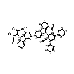 C=C(C#N)/C(=C(\C)C#N)n1c2ccccc2c2cc(-c3ccc4c(c3)c3ccccc3n4-c3c(C#N)c(-c4ccccc4)cc(-c4ccccc4)c3C#N)ccc21